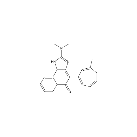 CC1=CC(C2=C3N=C(N(C)C)NC3C3=CC=CCC3C2=O)=CC=CC1